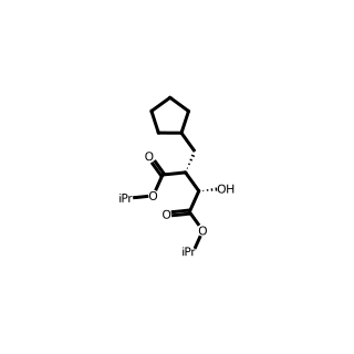 CC(C)OC(=O)[C@@H](O)[C@@H](CC1CCCC1)C(=O)OC(C)C